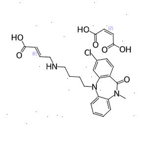 CN1C(=O)c2ccc(Cl)cc2N(CCCCNC/C=C/C(=O)O)c2ccccc21.O=C(O)/C=C\C(=O)O